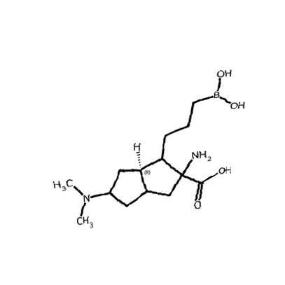 CN(C)C1CC2CC(N)(C(=O)O)C(CCCB(O)O)[C@@H]2C1